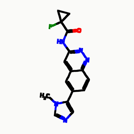 Cn1cncc1-c1ccc2nnc(NC(=O)C3(F)CC3)cc2c1